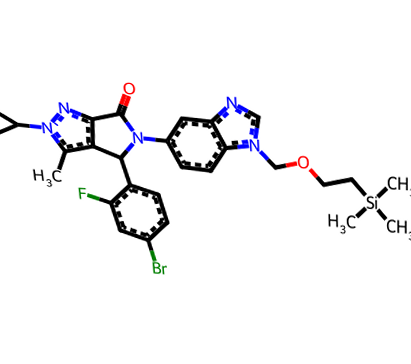 Cc1c2c(nn1C1CC1)C(=O)N(c1ccc3c(c1)ncn3COCC[Si](C)(C)C)C2c1ccc(Br)cc1F